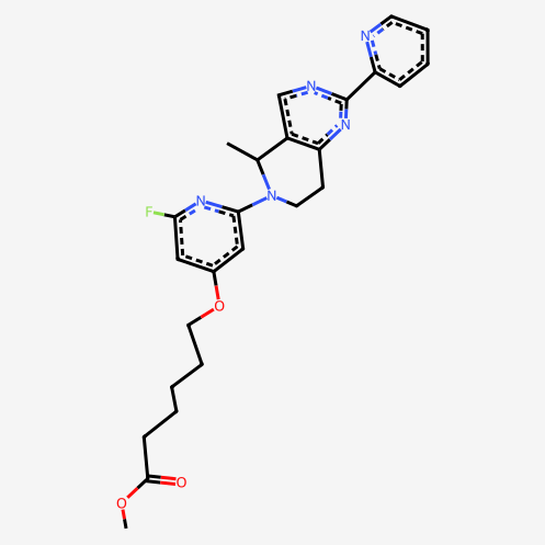 COC(=O)CCCCCOc1cc(F)nc(N2CCc3nc(-c4ccccn4)ncc3C2C)c1